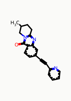 CC1CCc2nc3cc(C#Cc4ccccn4)ccc3c(=O)n2C1